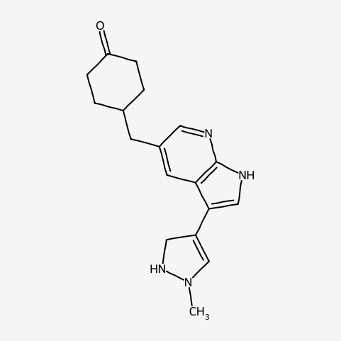 CN1C=C(c2c[nH]c3ncc(CC4CCC(=O)CC4)cc23)CN1